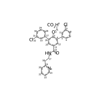 O=C(O)COc1c(-c2cccc(Cl)c2)cc(C(=O)NCCc2ccccn2)cc1-c1cccc(Cl)c1